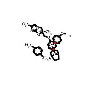 C[C@]1(COc2ccc(N3C4CCC3CC(Oc3ccc(OC(F)(F)F)cc3)C4)cc2)Cn2cc([N+](=O)[O-])nc2O1.Cc1ccc(S(=O)(=O)O)cc1